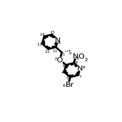 C[C@H](Oc1cc(Br)cnc1[N+](=O)[O-])c1ccccn1